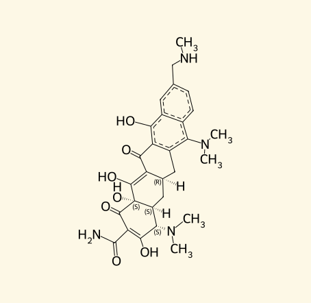 CNCc1ccc2c(N(C)C)c3c(c(O)c2c1)C(=O)C1=C(O)[C@]2(O)C(=O)C(C(N)=O)=C(O)[C@@H](N(C)C)[C@@H]2C[C@@H]1C3